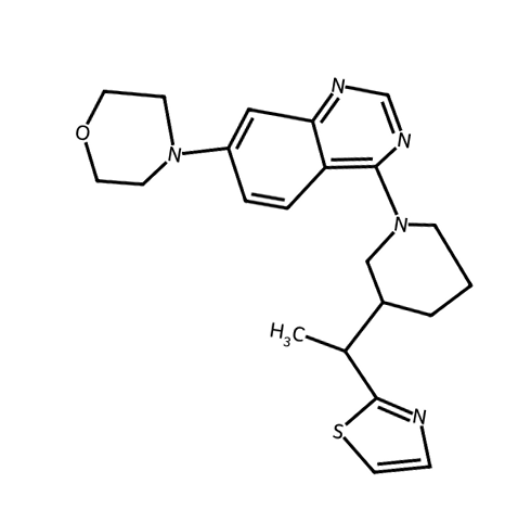 CC(c1nccs1)C1CCCN(c2ncnc3cc(N4CCOCC4)ccc23)C1